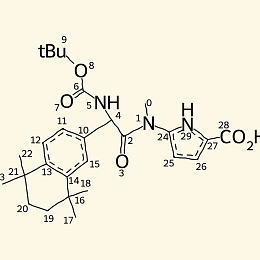 CN(C(=O)C(NC(=O)OC(C)(C)C)c1ccc2c(c1)C(C)(C)CCC2(C)C)c1ccc(C(=O)O)[nH]1